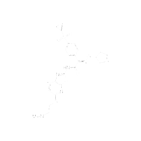 CNCCOc1cnc2nc(NC(=O)/C(=N/O[C@@H]3CCOC3)c3ccc(S(=O)(=O)C4CC4)cc3)sc2n1